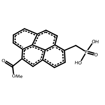 COC(=O)c1cc2ccc(CP(=O)(O)O)c3ccc4cccc1c4c23